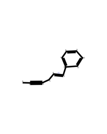 CC#CC/C=C/c1ccccc1